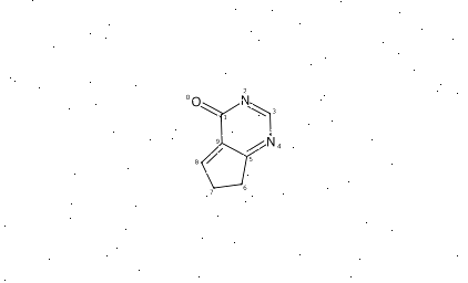 O=C1N=CN=C2CCC=C12